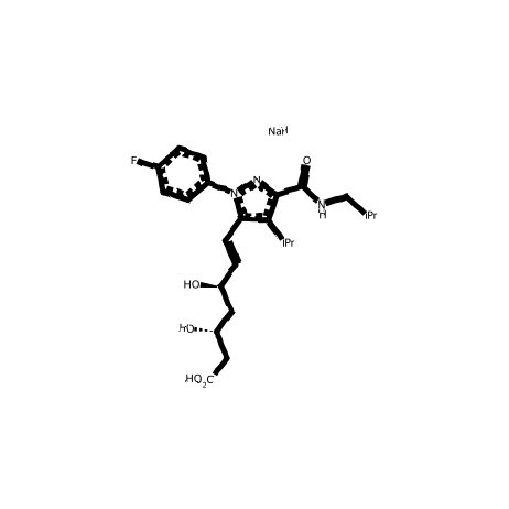 CC(C)CNC(=O)c1nn(-c2ccc(F)cc2)c(C=C[C@H](O)C[C@@H](O)CC(=O)O)c1C(C)C.[NaH]